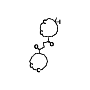 CC1(I)CCCCCCCC(C(=O)CCC(=O)C2CCCCCCCCCCC2)CCCC1